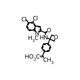 C[C@@H](C(=O)O)c1ccc(C2(NC(=O)c3cc4c(Cl)c(Cl)ccc4n3C)COC2)cc1